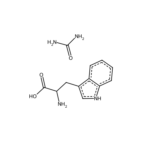 NC(Cc1c[nH]c2ccccc12)C(=O)O.NC(N)=O